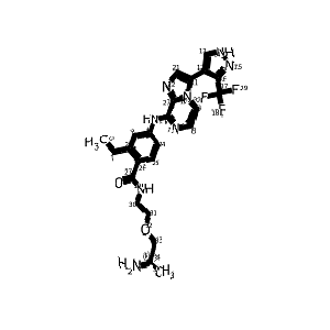 CCc1cc(Nc2nccn3c(-c4c[nH]nc4C(F)(F)F)cnc23)ccc1C(=O)NCCOC[C@@H](C)N